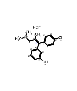 C/C(CN(C)C)=C(\c1ccc(Cl)cc1)c1cccc(O)c1.Cl